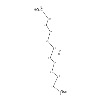 CCCCCCCCCCCCCCCCCCCC(=O)O.[In]